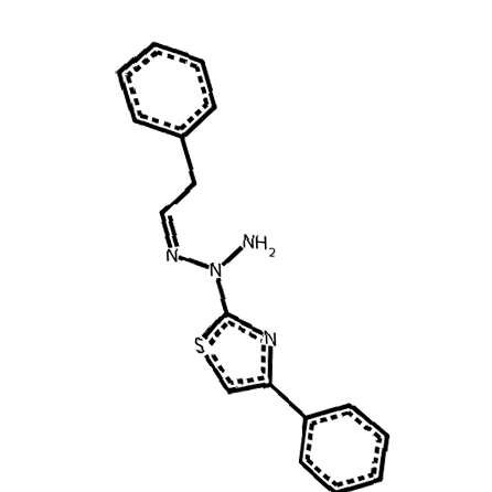 NN(/N=C\Cc1ccccc1)c1nc(-c2ccccc2)cs1